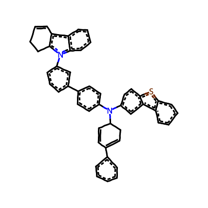 C1=Cc2c(n(-c3cccc(-c4ccc(N(c5ccc6sc7ccccc7c6c5)C5C=CC(c6ccccc6)=CC5)cc4)c3)c3ccccc23)CC1